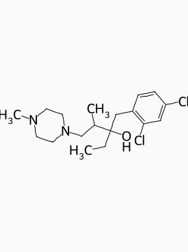 CCC(O)(Cc1ccc(Cl)cc1Cl)C(C)CN1CCN(C)CC1